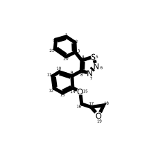 c1ccc(-c2snnc2-c2ccccc2OCC2CO2)cc1